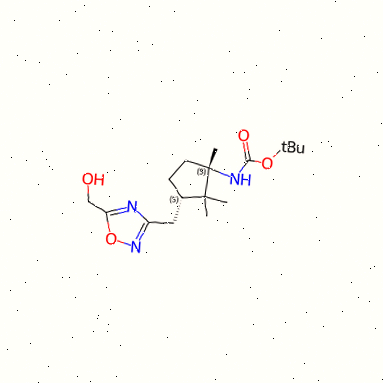 CC(C)(C)OC(=O)N[C@@]1(C)CC[C@@H](Cc2noc(CO)n2)C1(C)C